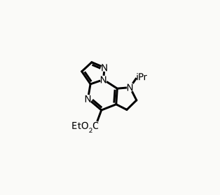 CCOC(=O)c1nc2ccnn2c2c1CCN2C(C)C